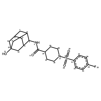 O=C(NC1C2CC3CC1CC(O)(C3)C2)C1CCN(S(=O)(=O)c2ccc(F)cc2)CC1